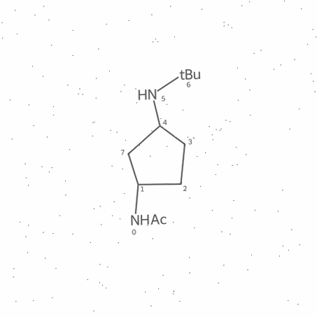 CC(=O)NC1CCC(NC(C)(C)C)C1